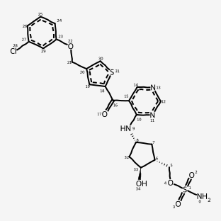 NS(=O)(=O)OC[C@H]1C[C@@H](Nc2ncncc2C(=O)c2cc(COc3cccc(Cl)c3)cs2)C[C@@H]1O